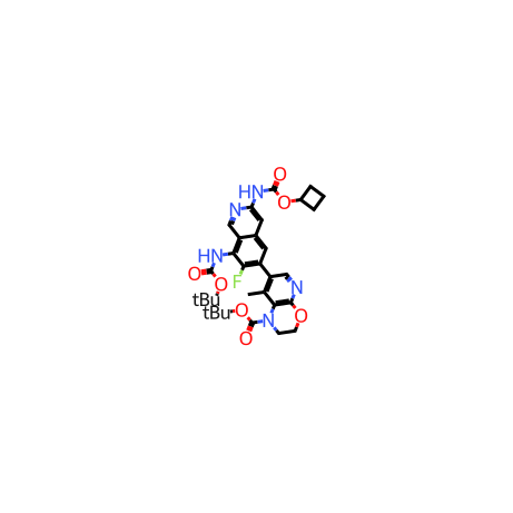 Cc1c(-c2cc3cc(NC(=O)OC4CCC4)ncc3c(NC(=O)OC(C)(C)C)c2F)cnc2c1N(C(=O)OC(C)(C)C)CCO2